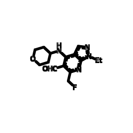 CCn1ncc2c(NC3CCOCC3)c(C=O)c(CF)nc21